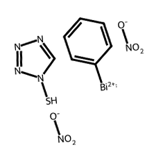 O=[N+]([O-])[O-].O=[N+]([O-])[O-].Sn1cnnn1.[Bi+2][c]1ccccc1